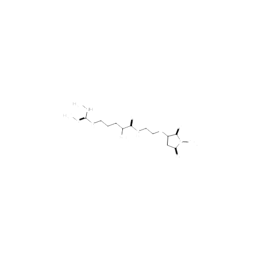 C/N=C(\NC)NCCCC(N)C(=O)NCCSC1CC(=O)N(C)C1=O